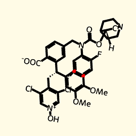 COc1ccc([C@H](Cc2c(Cl)c[n+](O)cc2Cl)c2cc(CN(C(=O)O[C@H]3CN4CCC3CC4)c3cc(F)ccc3F)ccc2C(=O)[O-])cc1OC